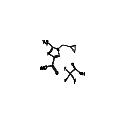 Cc1nc(C(=O)O)cn1CC1CC1.O=C(O)C(F)(F)F